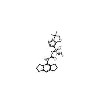 CC1(C)COc2c([S@@](N)(=O)=NC(=O)Nc3c4c(cc5c3CCC5)CCC4)cnn21